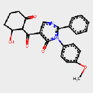 COc1ccc(-n2c(-c3ccccc3)ncc(C(=O)C3C(=O)CCCC3O)c2=O)cc1